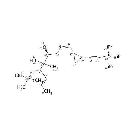 C/C=C/[C@H](O[Si](C)(C)C(C)(C)C)C(C)(C)[C@@H](O)C/C=C\[C@H]1C[C@H]1C#C[Si](C(C)C)(C(C)C)C(C)C